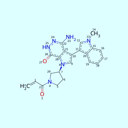 C=CC(=O)N1CC[C@H](n2cc(-c3cn(C)c4ccccc34)c3c(N)n[nH]c(=O)c32)C1